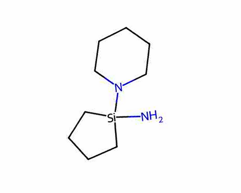 N[Si]1(N2CCCCC2)CCCC1